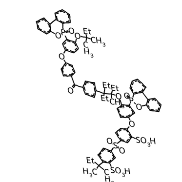 CCC(C)(C)Oc1ccc(Oc2ccc(C(=O)c3ccc(C(CC)(CC)C(C)(CC)Oc4ccc(Oc5ccc(S(=O)(=O)c6ccc(C(C)(C)CC)c(S(=O)(=O)O)c6)cc5S(=O)(=O)O)cc4P4(=O)Oc5ccccc5-c5ccccc54)cc3)cc2)cc1P1(=O)Oc2ccccc2-c2ccccc21